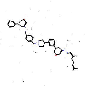 CC(C)=CCC/C(C)=C\CNC1=CC(=O)CC(c2cccc(C3CCN(Cc4ccc(CNC5=CC(=O)CC(c6ccccc6)C5)cc4)CC3)c2)C1